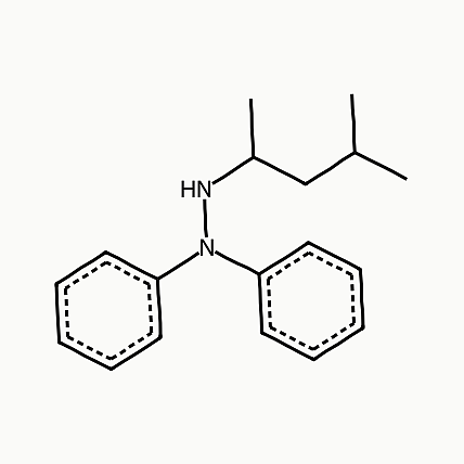 CC(C)CC(C)NN(c1ccccc1)c1ccccc1